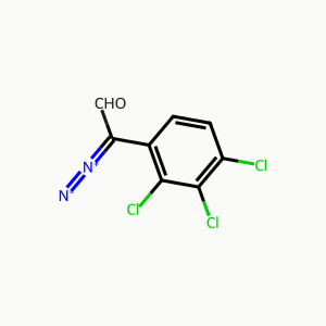 [N-]=[N+]=C(C=O)c1ccc(Cl)c(Cl)c1Cl